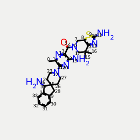 Cc1nc(C(=O)N2Cc3sc(N)nc3C(C)(C)C2)c(N)nc1N1CCC2(CC1)Cc1ccccc1C2N